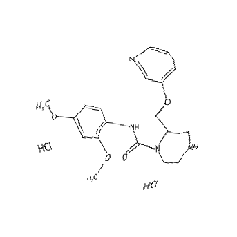 COc1ccc(NC(=O)N2CCNCC2COc2cccnc2)c(OC)c1.Cl.Cl